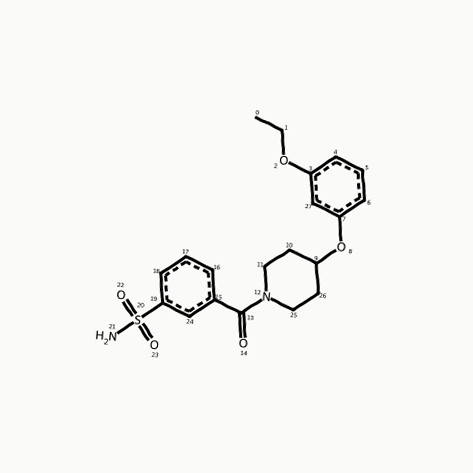 CCOc1cccc(OC2CCN(C(=O)c3cccc(S(N)(=O)=O)c3)CC2)c1